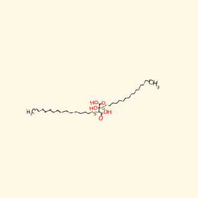 CCCCCCCCCCCCCCCCSC(C(=O)O)C(O)(SCCCCCCCCCCCCCCCC)C(=O)O